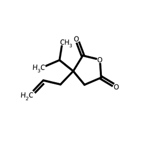 C=CCC1(C(C)C)CC(=O)OC1=O